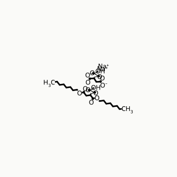 CCCCCCCCOC(=O)CC(C(=O)OCCCCCCCC)S(=O)(=O)O.O=C([O-])CC(C(=O)[O-])S(=O)(=O)O.[Na+].[Na+]